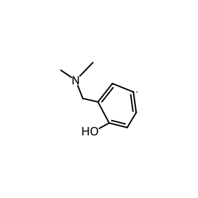 CN(C)Cc1c[c]ccc1O